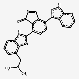 CN(C)Cc1cccc2[nH]c(-c3ccc(-c4c[nH]c5ncccc45)c4c3C(=O)N=C4)nc12